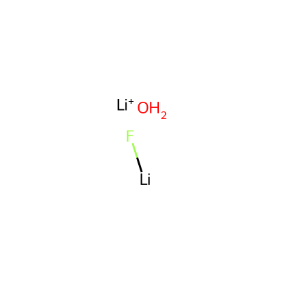 O.[Li+].[Li][F]